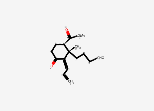 C=C/C=C1\C(=O)CC[C@@H](C(=O)OC)[C@]1(C)CCCC=O